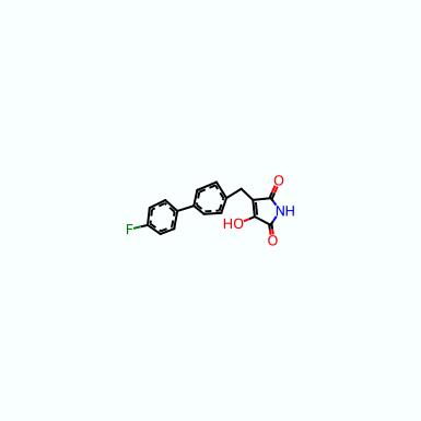 O=C1NC(=O)C(Cc2ccc(-c3ccc(F)cc3)cc2)=C1O